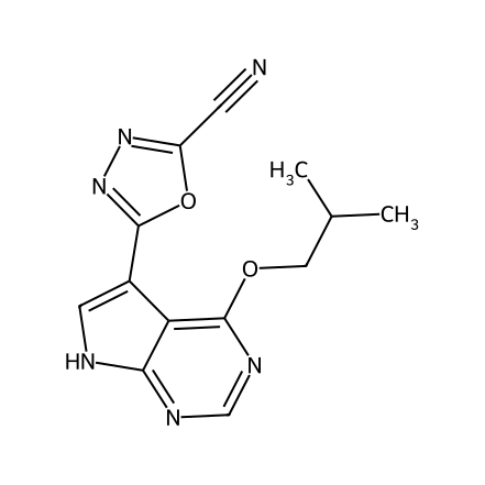 CC(C)COc1ncnc2[nH]cc(-c3nnc(C#N)o3)c12